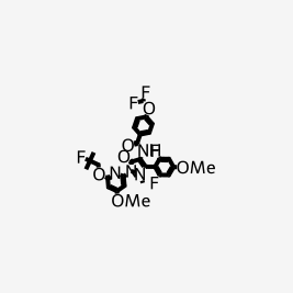 COc1cc(OCC(C)(C)F)nc(-n2c(=O)c(NC(=O)c3ccc(OC(F)F)cc3)c(-c3c(F)cc(OC)cc3F)n2C)c1